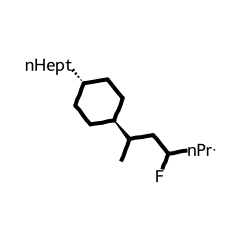 CC[CH]C(F)CC(C)[C@H]1CC[C@H](CCCCCCC)CC1